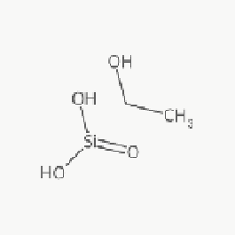 CCO.O=[Si](O)O